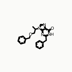 CC(COCc1ccccc1)n1cnc2c(=O)[nH]c(Cc3ccccc3)nc21